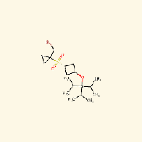 CC(C)[Si](O[C@H]1C[C@H](S(=O)(=O)C2(CBr)CC2)C1)(C(C)C)C(C)C